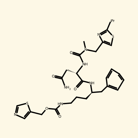 CC(C)c1nc(CN(C)C(=O)N[C@@H](CC(N)=O)C(=O)N[C@H](CCCNC(=O)OCc2cncs2)Cc2ccccc2)cs1